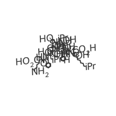 CC(C)CCCCCC(O)CC(=O)N[C@H](CC(=O)O)C(=O)NC(Cc1ccccc1)C(=O)N[C@@H](CO)C(=O)N[C@@H](C(=O)N1C[C@H](O)C[C@H]1C(=O)N[C@@H](CO)C(=O)N[C@H](CC(C)C)C(=O)NC(Cc1ccccc1)C(=O)N[C@@H](CCCCN)C(=O)O)C(C)C